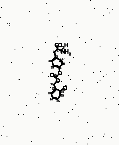 N[C@@H](Cc1ccc(OC(=O)OCc2ccccc2Cl)cc1)C(=O)O